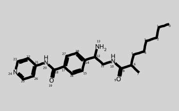 CCCCCCC(C)C(=O)NCC(N)c1ccc(C(=O)Nc2ccncc2)cc1